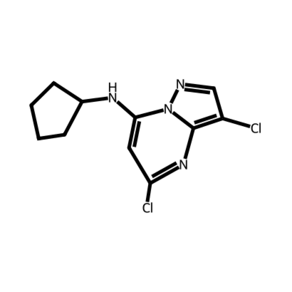 Clc1cc(NC2CCCC2)n2ncc(Cl)c2n1